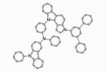 c1ccc(-c2cc(-c3ccccc3)cc(-n3ccc4c3ccc3c5ccccc5n(-c5cccc(N(c6ccccc6)c6ccc7c(c6)c6ccccc6n7-c6ccccc6)c5)c34)c2)cc1